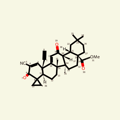 C#C[C@]12C=C(C#N)C(=O)C3(CC3)[C@@H]1CC[C@]1(C)C2=CC(=O)[C@@H]2[C@@H]3CC(C)(C)CC[C@]3(C(=O)OC)CC[C@]21C